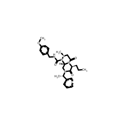 CCC[C@H]1C(=O)N([C@@H](C)c2ccccc2)C[C@H]2N1C(=O)CN(C)N2C(=O)NCc1ccc(OC)cc1